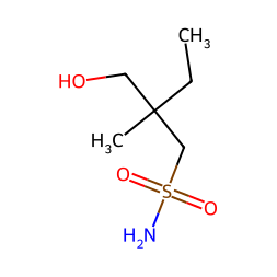 CCC(C)(CO)CS(N)(=O)=O